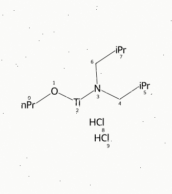 CCC[O][Ti][N](CC(C)C)CC(C)C.Cl.Cl